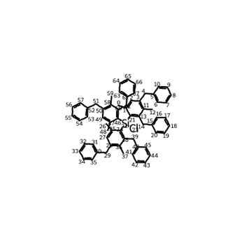 Cc1cc(Cc2ccccc2)c(C)c(Cc2ccccc2)c1[Si](Cl)(c1c(C)cc(Cc2ccccc2)c(C)c1Cc1ccccc1)c1c(C)cc(Cc2ccccc2)c(C)c1Cc1ccccc1